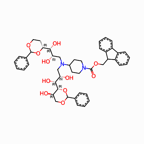 O=C(OCC1c2ccccc2-c2ccccc21)N1CCC(N(C[C@H](O)[C@@H](O)[C@H]2CCOC(c3ccccc3)O2)C[C@H](O)[C@@H](O)[C@@H]2OC(c3ccccc3)OC[C@H]2O)CC1